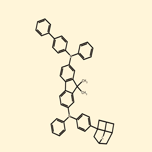 CC1(C)c2cc(N(c3ccccc3)c3ccc(-c4ccccc4)cc3)ccc2-c2ccc(N(c3ccccc3)c3ccc(C45CC6CC7CC(C4)C75C6)cc3)cc21